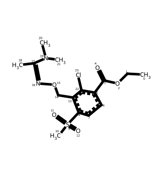 CCOC(=O)c1ccc(S(C)(=O)=O)c(CO/N=C(/C)N(C)C)c1Cl